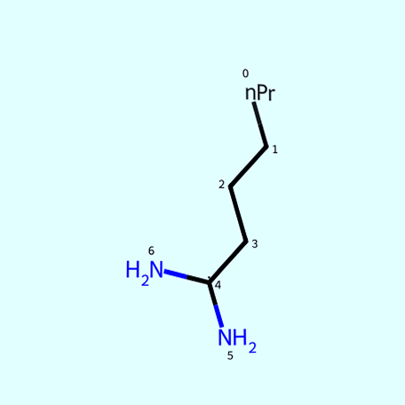 CCCCCC[C](N)N